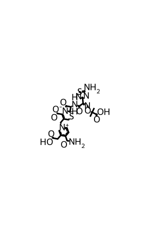 CC(C)(O/N=C(\C(=O)N[C@@H]1C(=O)N2C(C(=O)[O-])=C(C[n+]3ccc(C(N)=O)c(CC(=O)O)c3)CS[C@H]12)c1nsc(N)n1)C(=O)O